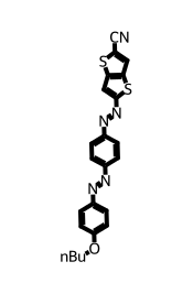 CCCCOc1ccc(N=Nc2ccc(N=Nc3cc4sc(C#N)cc4s3)cc2)cc1